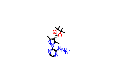 Cc1nn(-c2nccnc2N=[N+]=[N-])c(C)c1B1OC(C)(C)C(C)(C)O1